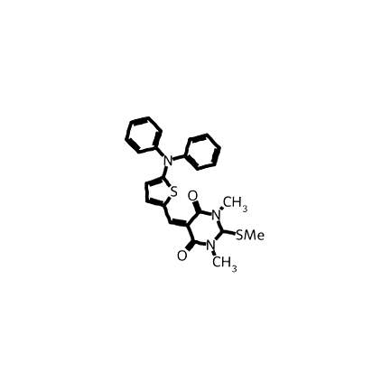 CSC1N(C)C(=O)C(=Cc2ccc(N(c3ccccc3)c3ccccc3)s2)C(=O)N1C